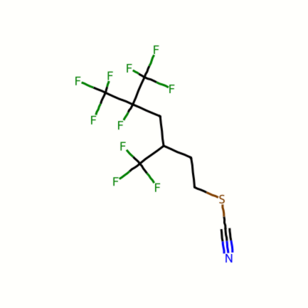 N#CSCCC(CC(F)(C(F)(F)F)C(F)(F)F)C(F)(F)F